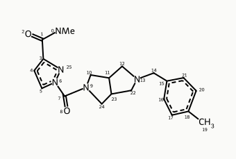 CNC(=O)c1ccn(C(=O)N2CC3CN(Cc4ccc(C)cc4)CC3C2)n1